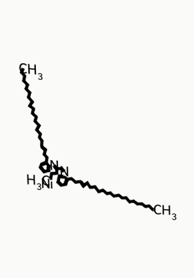 CCCCCCCCCCCCCCCCCCC/C=C/CCc1ccccc1/N=C\C(CCCC)=N\c1ccccc1CC/C=C/CCCCCCCCCCCCCCCCCCC.[Ni]